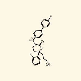 C[C@@H](c1ccc(-c2ccc(F)cc2)cc1)N1CCC(CCCO)(c2ccccc2F)OC1=O